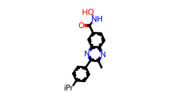 Cc1nc2ccc(C(=O)NO)cc2nc1-c1ccc(C(C)C)cc1